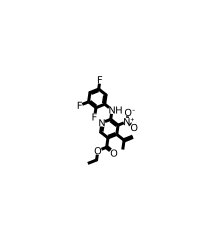 C=C(C)c1c(C(=O)OCC)cnc(Nc2cc(F)cc(F)c2F)c1[N+](=O)[O-]